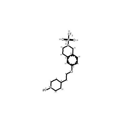 CC(C)N1CCC(CCOc2ccc3c(c2)CCN(S(=O)(=O)C(F)(F)F)C3)CC1